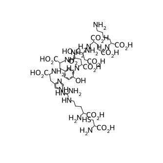 N=C(N)NCCCC(N)C(=O)O.NC(=O)CC(N)C(=O)O.NC(CC(=O)O)C(=O)O.NC(CCC(=O)O)C(=O)O.NC(CS)C(=O)O.NC(Cc1c[nH]cn1)C(=O)O.NC(Cc1ccc(O)cc1)C(=O)O.NCCCCC(N)C(=O)O